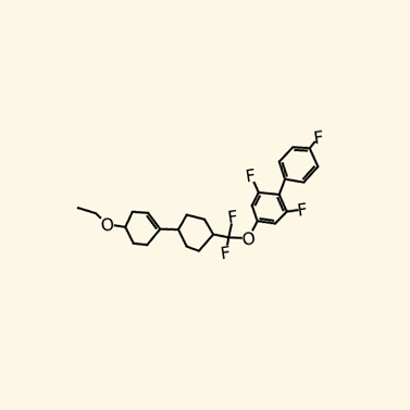 CCOC1CC=C(C2CCC(C(F)(F)Oc3cc(F)c(-c4ccc(F)cc4)c(F)c3)CC2)CC1